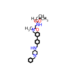 CN(Cc1cccc(-c2ccc(CNC3CCN(Cc4ccccc4)CC3)cc2)c1)C(=O)CNC(=O)OC(C)(C)C